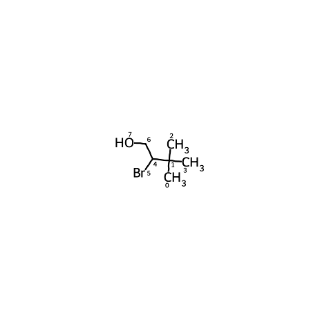 CC(C)(C)C(Br)CO